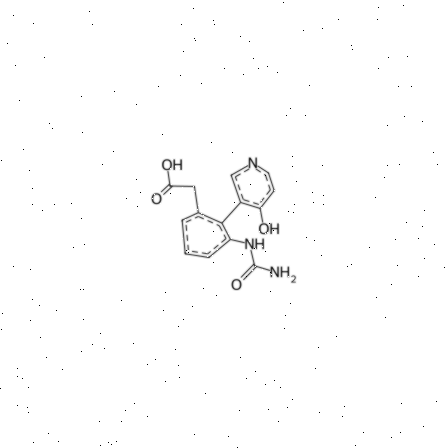 NC(=O)Nc1cccc(CC(=O)O)c1-c1cnccc1O